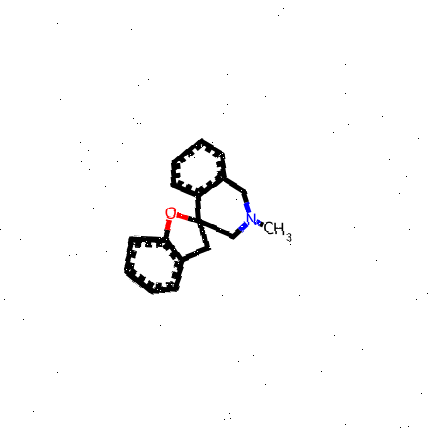 CN1Cc2ccccc2C2(Cc3ccccc3O2)C1